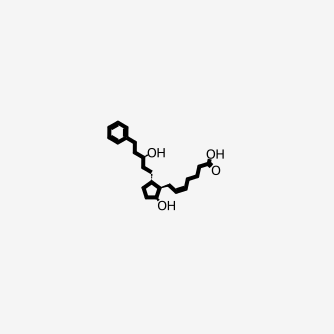 O=C(O)CCC/C=C\C[C@@H]1[C@@H](CC[C@@H](O)CCc2ccccc2)CC[C@@H]1O